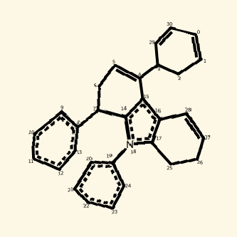 C1=CCC(C2=CCC(c3ccccc3)c3c2c2c(n3-c3ccccc3)CCC=C2)C=C1